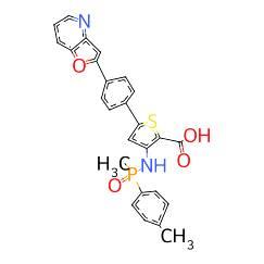 Cc1ccc(P(C)(=O)Nc2cc(-c3ccc(-c4cc5ncccc5o4)cc3)sc2C(=O)O)cc1